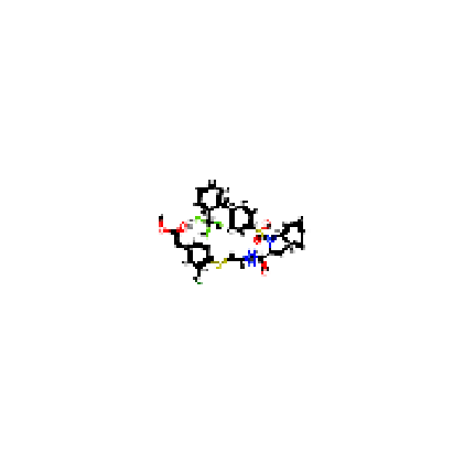 COC(=O)Cc1ccc(SCCNC(=O)[C@@H]2Cc3ccccc3N2S(=O)(=O)c2ccc(-c3ccccc3C(F)(F)F)cc2)c(Cl)c1